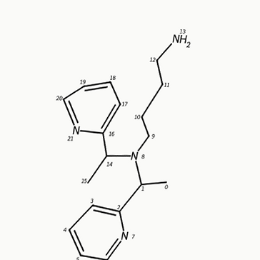 CC(c1ccccn1)N(CCCCN)C(C)c1ccccn1